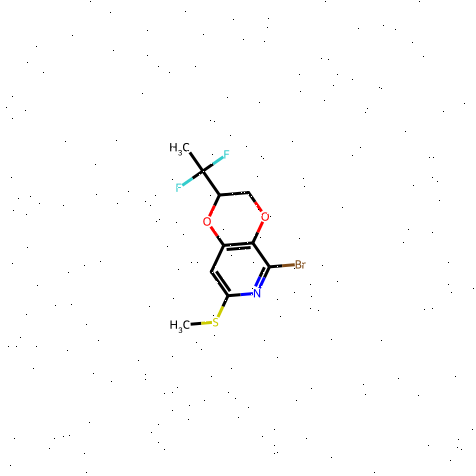 CSc1cc2c(c(Br)n1)OCC(C(C)(F)F)O2